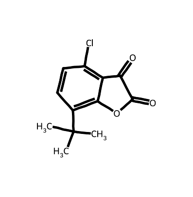 CC(C)(C)c1ccc(Cl)c2c1OC(=O)C2=O